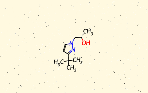 C[C@H](O)Cn1ccc(C(C)(C)C)n1